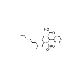 CCCCCCC(C)Oc1ccc(C(=O)O)c(-c2ccccc2)c1[N+](=O)[O-]